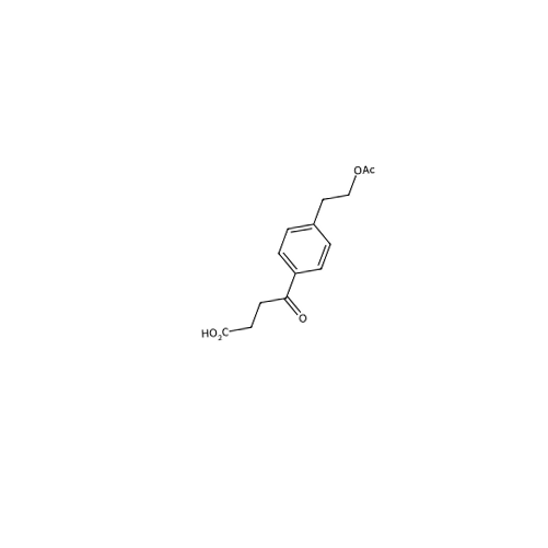 CC(=O)OCCc1ccc(C(=O)CCC(=O)O)cc1